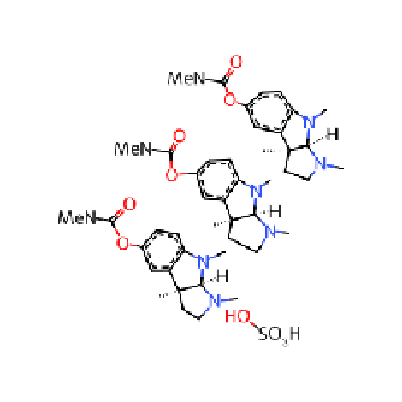 CNC(=O)Oc1ccc2c(c1)[C@]1(C)CCN(C)[C@@H]1N2C.CNC(=O)Oc1ccc2c(c1)[C@]1(C)CCN(C)[C@@H]1N2C.CNC(=O)Oc1ccc2c(c1)[C@]1(C)CCN(C)[C@@H]1N2C.O=S(=O)(O)O